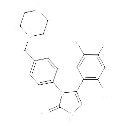 CC(C)c1cc(-c2c[nH]c(=S)n2-c2ccc(CN3CCOCC3)cc2)c(O)cc1O